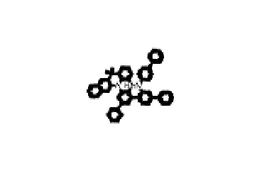 CC1(C)c2cc3ccccc3cc2N2c3cc(-c4ccccc4)cc(-c4ccc(-c5ccccc5)cc4Nc4ccc(-c5ccccc5)cc4)c3Bc3cccc1c32